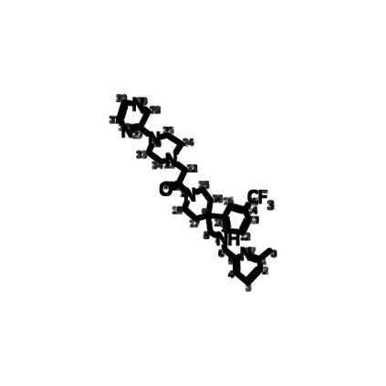 Cc1cccc(CNCC2(c3cccc(C(F)(F)F)c3)CCN(C(=O)CN3CCN(c4cnccn4)CC3)CC2)n1